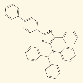 c1ccc(-c2ccc(-c3nc(-c4ccccc4)c(N(c4ccccc4)C(c4ccccc4)c4ccccc4)s3)cc2)cc1